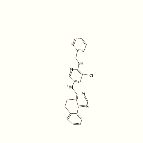 Clc1cc(Nc2ncnc3c2CCc2ccccc2-3)cnc1NCc1ccccn1